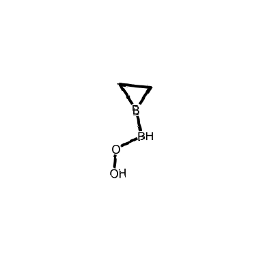 OOBB1CC1